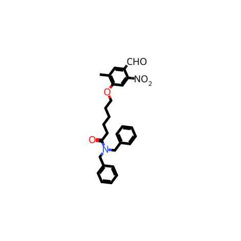 Cc1cc(C=O)c([N+](=O)[O-])cc1OCCCCCC(=O)N(Cc1ccccc1)Cc1ccccc1